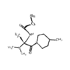 CC1CCN(C(=O)[C@@](C)(NC(=O)OC(C)(C)C)N(C)C)CC1